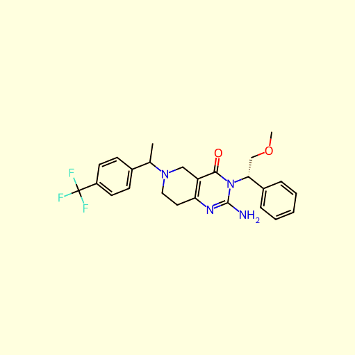 COC[C@H](c1ccccc1)n1c(N)nc2c(c1=O)CN(C(C)c1ccc(C(F)(F)F)cc1)CC2